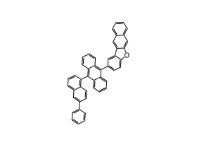 c1ccc(-c2ccc3c(-c4c5ccccc5c(-c5ccc6oc7cc8ccccc8cc7c6c5)c5ccccc45)cccc3c2)cc1